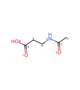 CC(=O)NCCC(=O)O